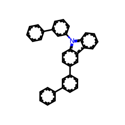 c1ccc(-c2cccc(-c3ccc4c(c3)c3ccccc3n4-c3cccc(-c4ccccc4)c3)c2)cc1